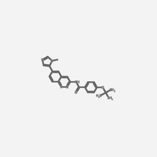 BC(B)(B)Oc1ccc(C(=O)Nc2cc3cc(-c4cncn4C)ccc3nn2)cc1